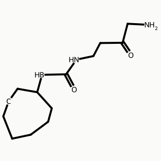 NCC(=O)CCNC(=O)BC1CCCCCCC1